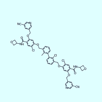 Cc1c(COc2cc(OCc3cncc(C#N)c3)c(C(=O)NC3COC3)cc2Cl)cccc1-c1cccc(COc2cc(OCc3cncc(C#N)c3)c(C(=O)NC3COC3)cc2Cl)c1Cl